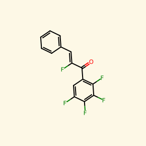 O=C(C(F)=Cc1ccccc1)c1cc(F)c(F)c(F)c1F